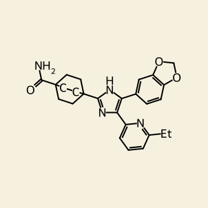 CCc1cccc(-c2nc(C34CCC(C(N)=O)(CC3)CC4)[nH]c2-c2ccc3c(c2)OCO3)n1